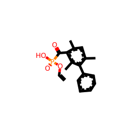 C=COP(=O)(O)C(=O)c1c(C)cc(C)c(-c2ccccc2)c1C